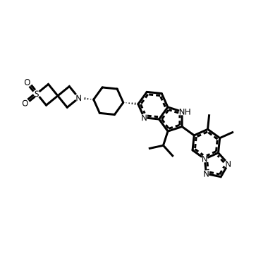 Cc1c(-c2[nH]c3ccc([C@H]4CC[C@@H](N5CC6(C5)CS(=O)(=O)C6)CC4)nc3c2C(C)C)cn2ncnc2c1C